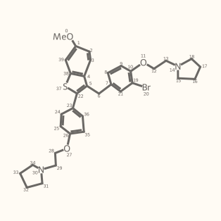 COc1ccc2c(Cc3ccc(OCCN4CCCC4)c(Br)c3)c(-c3ccc(OCCN4CCCC4)cc3)sc2c1